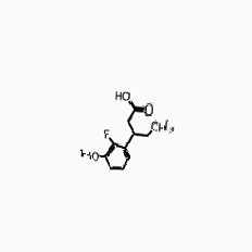 CCC(CC(=O)O)c1cccc(O)c1F